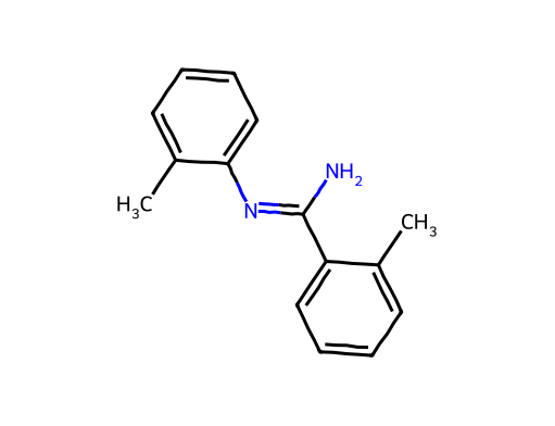 Cc1ccccc1/N=C(\N)c1ccccc1C